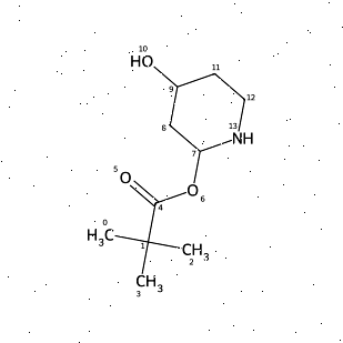 CC(C)(C)C(=O)OC1CC(O)CCN1